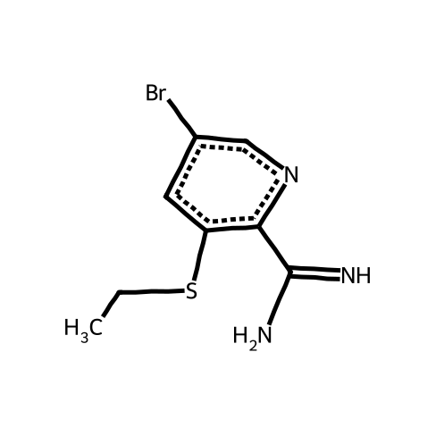 CCSc1cc(Br)cnc1C(=N)N